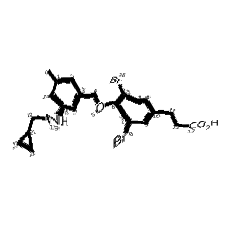 Cc1cc(COc2c(Br)cc(CCC(=O)O)cc2Br)cc(NCC2CC2)c1